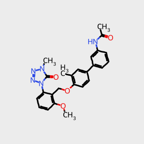 COc1cccc(-n2nnn(C)c2=O)c1COc1ccc(-c2cccc(NC(C)=O)c2)cc1C